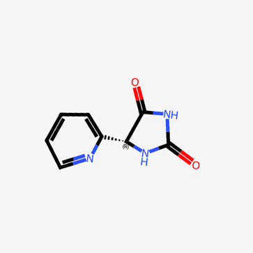 O=C1NC(=O)[C@@H](c2ccccn2)N1